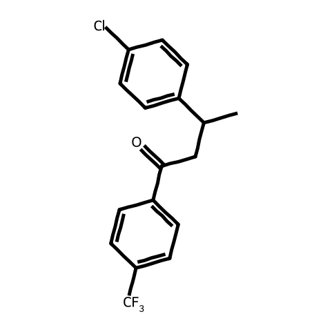 CC(CC(=O)c1ccc(C(F)(F)F)cc1)c1ccc(Cl)cc1